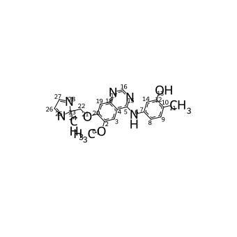 COc1cc2c(Nc3ccc(C)c(O)c3)ncnc2cc1OCC1(C)N=CC=N1